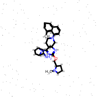 Cc1cccc2cccc(N3CCc4c(nc(OCC5CCCN5C)nc4N4C5CCC4C(N)C5)C3)c12